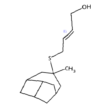 CC1(SC/C=C/CO)CC2CC3CC(C1)C3C2